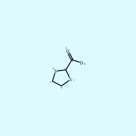 [O]C(=O)C1SCCS1